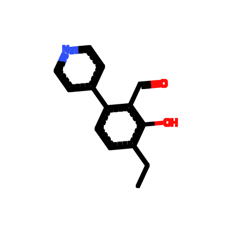 CCc1ccc(-c2ccncc2)c(C=O)c1O